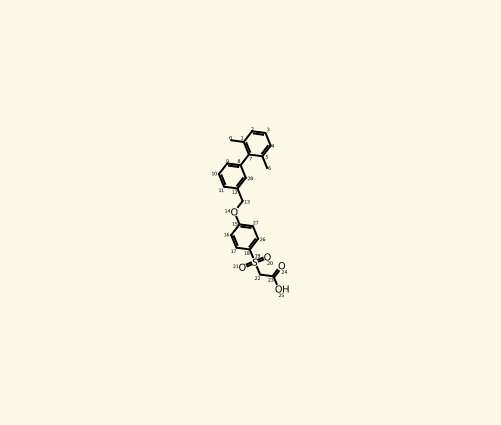 Cc1cccc(C)c1-c1cccc(COc2ccc(S(=O)(=O)CC(=O)O)cc2)c1